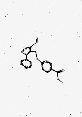 COC(=O)c1ccc(OCc2c(-c3ccccc3)noc2C=O)nc1